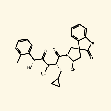 CN(C(=O)[C@H](O)c1ccccc1F)[C@@H](CC1CC1)C(=O)N1C[C@]2(C[C@H]1C#N)C(=O)Nc1ccccc12